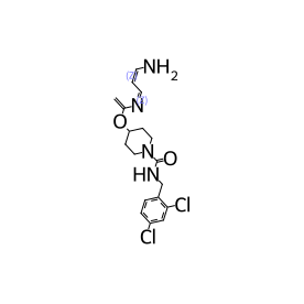 C=C(/N=C\C=C/N)OC1CCN(C(=O)NCc2ccc(Cl)cc2Cl)CC1